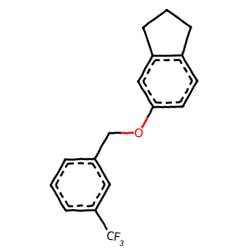 FC(F)(F)c1cccc(COc2ccc3c(c2)CCC3)c1